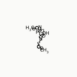 COc1cccc(SCCCN2CCC(CC[C@@H](F)c3c(Cl)cnc4ccc(OC)cc34)(CC(=O)O)CC2)c1